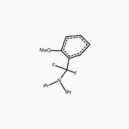 COc1ccccc1C(F)(F)N(C(C)C)C(C)C